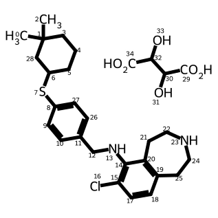 CC1(C)CCCC(Sc2ccc(CNc3c(Cl)ccc4c3CCNCC4)cc2)C1.O=C(O)C(O)C(O)C(=O)O